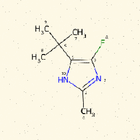 Cc1nc(F)c(C(C)(C)C)[nH]1